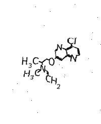 C=CN(C)C(C)COc1cnc2c(Cl)ccnc2c1